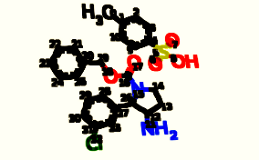 Cc1ccc(S(=O)(=O)O)cc1.NC1CCN(C(=O)OCc2ccccc2)C1c1cccc(Cl)c1